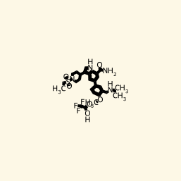 CCS(=O)(=O)N1CCC(c2c[nH]c3c(C(N)=O)cc(-c4ccc(OC)c(CNC(C)C)c4)cc23)CC1.O=C(O)C(F)(F)F